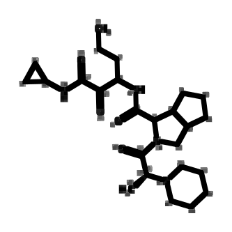 CCCC(NC(=O)C1C2CCCC2CN1C(=O)[C@H](C)N1CCCCC1)C(=O)C(=O)NC1CC1